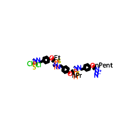 CCCCCC(C)(N=[N+]=[N-])Oc1ccc(/C=N/N(C)[PH](=S)C(C)(CCC)Oc2ccc(/C=N/N(C)[PH](=S)C(C)(CC)Oc3ccc(/C=N/N(C)P(=S)(Cl)Cl)cc3)cc2)cc1